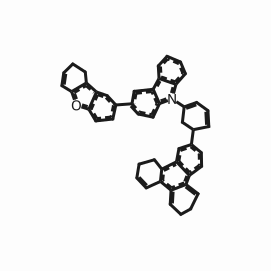 C1=CC(c2ccc3c4c(c5c(c3c2)CCC=C5)=CCCC=4)CC(n2c3ccccc3c3cc(-c4ccc5oc6c(c5c4)CCC=C6)ccc32)=C1